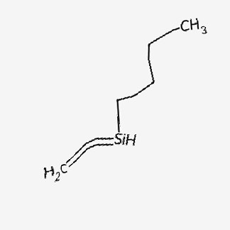 C=C=[SiH]CCCC